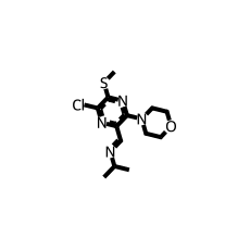 CSc1nc(N2CCOCC2)c(C=NC(C)C)nc1Cl